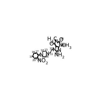 Cn1c(=O)c2c(nc(N)n2CCN2CCN(c3ccccc3[N+](=O)[O-])CC2)n(C)c1=O